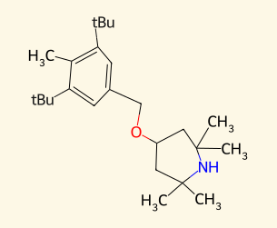 Cc1c(C(C)(C)C)cc(COC2CC(C)(C)NC(C)(C)C2)cc1C(C)(C)C